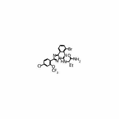 CC[C@H](Nc1nc2c(Br)cccc2c2nc(-c3ccc(Cl)cc3OC(F)(F)F)nn12)C(N)=O